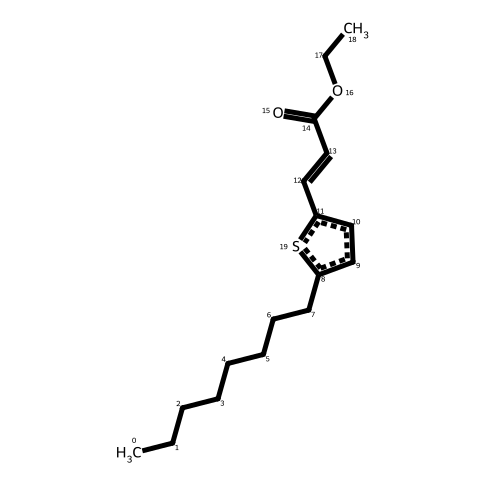 CCCCCCCCc1ccc(C=CC(=O)OCC)s1